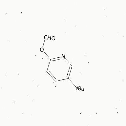 CC(C)(C)c1ccc(OC=O)nc1